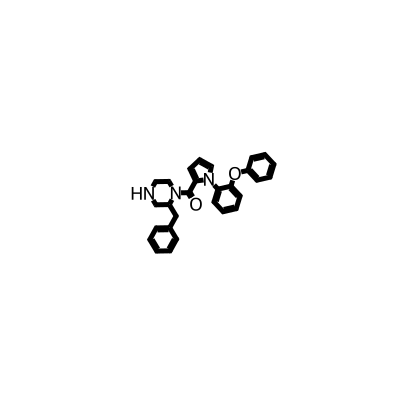 O=C(c1cccn1-c1ccccc1Oc1ccccc1)N1CCNCC1Cc1ccccc1